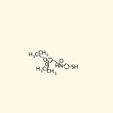 CC(C)=CCOc1ccc(/C=C/C(=O)Nc2ccc(S)cc2)cc1OC=C(C)C